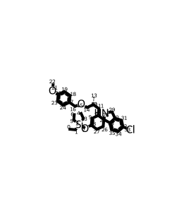 CC[Si](CC)(CC)OC1=CC(C[C@@H](C)COCc2ccc(OC)cc2)C2(CC1)NCc1cc(Cl)ccc12